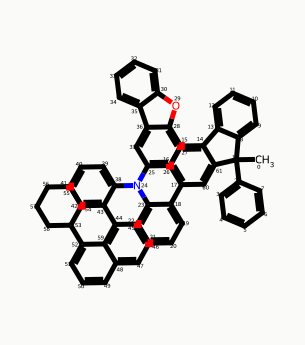 CC1(c2ccccc2)c2ccccc2-c2ccc(-c3ccccc3N(c3ccc4oc5ccccc5c4c3)c3ccccc3-c3cccc4cccc(C5CCCCC5)c34)cc21